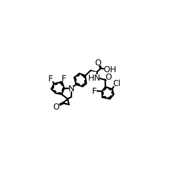 O=C(N[C@@H](Cc1ccc(N2CC3(CC3=O)c3ccc(F)c(F)c32)cc1)C(=O)O)c1c(F)cccc1Cl